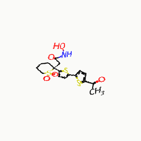 CC(=O)c1ccc(-c2ccc([C@@]3(CC(=O)NO)CCCCS3(=O)=O)s2)s1